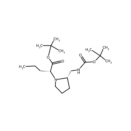 CCC[C@H](C(=O)OC(C)(C)C)N1CCC[C@H]1CNC(=O)OC(C)(C)C